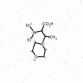 CCN(CC)C(C(=O)O)C(C)N1CCOCC1